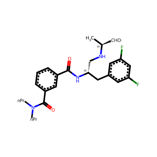 CCCN(CCC)C(=O)c1cccc(C(=O)N[C@H](CN[C@@H](C)[C]=O)Cc2cc(F)cc(F)c2)c1